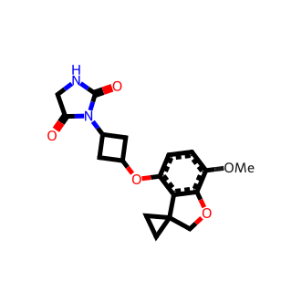 COc1ccc(OC2CC(N3C(=O)CNC3=O)C2)c2c1OCC21CC1